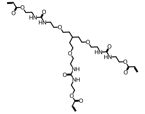 C=CC(=O)OCCNC(=O)NCCOCCC(CCOCCNC(=O)NCCOC(=O)C=C)CCOCCNC(=O)NCCOC(=O)C=C